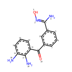 NC(=NO)c1cccc(C(=O)c2cccc(N)c2N)c1